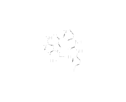 CC(C)n1cc(C(=O)c2cc(NC(=O)Nc3ccc(F)cc3)ccn2)c2c(N)ncnc21